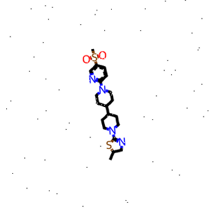 CC1CN=C(N2CCC(C3CCN(c4ccc(S(C)(=O)=O)cn4)CC3)CC2)S1